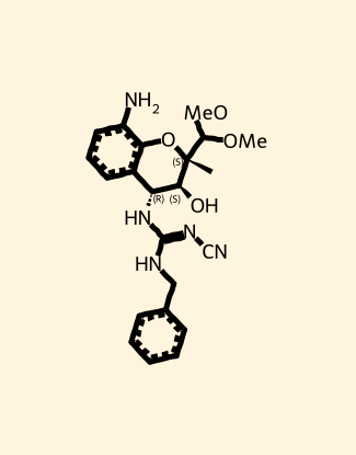 COC(OC)[C@@]1(C)Oc2c(N)cccc2[C@@H](NC(=NC#N)NCc2ccccc2)[C@@H]1O